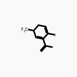 C=C(C)C1=CC(C(F)(F)F)CC=C1I